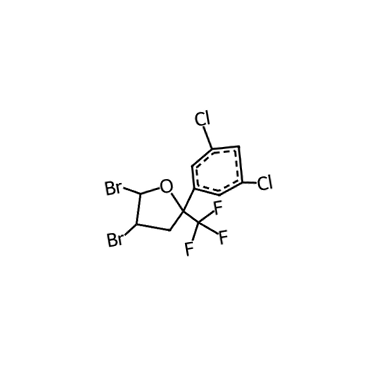 FC(F)(F)C1(c2cc(Cl)cc(Cl)c2)CC(Br)C(Br)O1